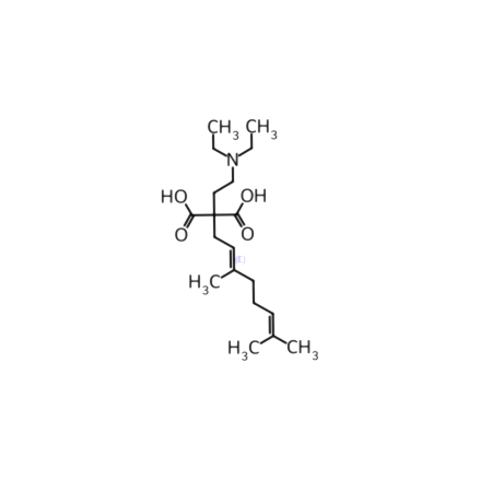 CCN(CC)CCC(C/C=C(\C)CCC=C(C)C)(C(=O)O)C(=O)O